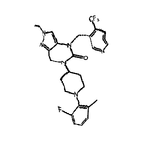 Cc1cccc(F)c1N1CCC(N2Cc3nn(C)cc3N(Cc3cnccc3C(F)(F)F)C2=O)CC1